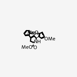 COC(=O)[C@@H]1Cc2c([nH]c3ccccc23)[C@@H](c2cc(OC)ccc2OC)N1